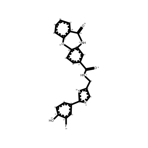 O=C(NCc1cnc(-c2ccc(O)c(F)c2)s1)c1ccc2c(c1)NC(=O)c1ccccc1O2